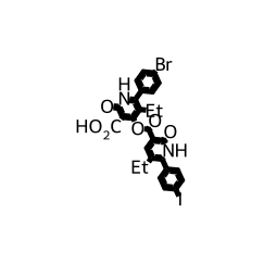 CCc1cc(C(=O)Oc2c(CC)c(-c3ccc(Br)cc3)[nH]c(=O)c2C(=O)O)c(=O)[nH]c1-c1ccc(I)cc1